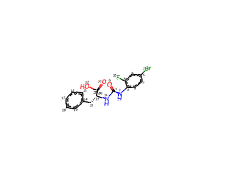 O=C(Nc1ccc(Br)cc1F)N[C@H](Cc1ccccc1)C(=O)O